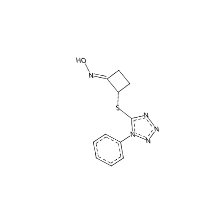 ON=C1CCC1Sc1nnnn1-c1ccccc1